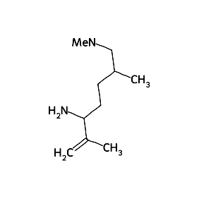 C=C(C)C(N)CCC(C)CNC